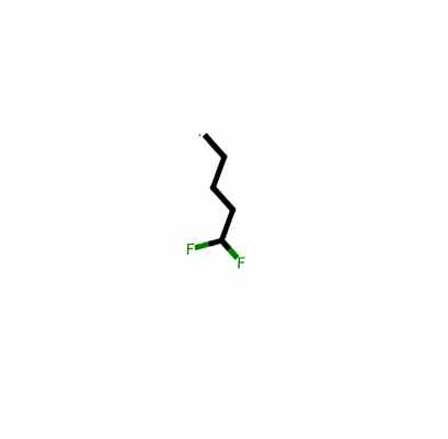 [CH2]CCCC(F)F